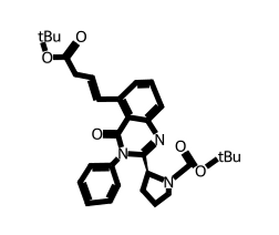 CC(C)(C)OC(=O)CC=Cc1cccc2nc([C@@H]3CCCN3C(=O)OC(C)(C)C)n(-c3ccccc3)c(=O)c12